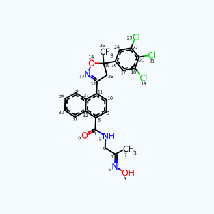 O=C(NC/C(=N/O)C(F)(F)F)c1ccc(C2=NOC(c3cc(Cl)c(Cl)c(Cl)c3)(C(F)(F)F)C2)c2ccccc12